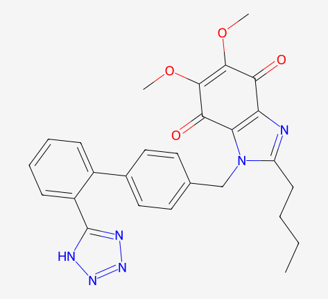 CCCCc1nc2c(n1Cc1ccc(-c3ccccc3-c3nnn[nH]3)cc1)C(=O)C(OC)=C(OC)C2=O